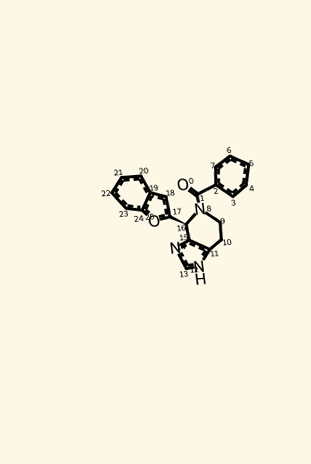 O=C(c1ccccc1)N1CCc2[nH]cnc2[C@H]1c1cc2ccccc2o1